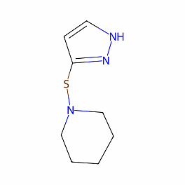 c1cc(SN2CCCCC2)n[nH]1